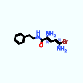 N/C(=C\C=C(/N)Br)C(=O)NCCc1ccccc1